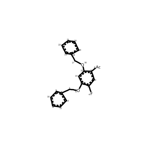 CC(=O)c1cc(F)c(OCc2ccccc2)cc1OCc1ccccc1